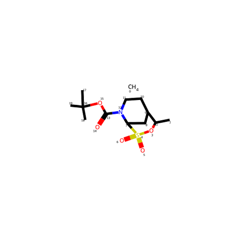 C.CC1OS(=O)(=O)C2CC1CCN2C(=O)OC(C)(C)C